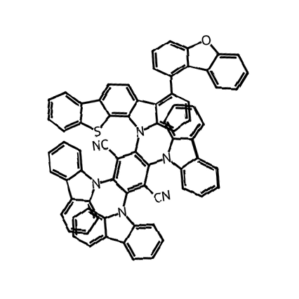 N#Cc1c(-n2c3ccccc3c3ccccc32)c(-n2c3ccccc3c3ccccc32)c(C#N)c(-n2c3cccc(-c4cccc5oc6ccccc6c45)c3c3ccc4c5ccccc5sc4c32)c1-n1c2ccccc2c2ccccc21